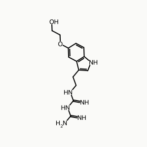 N=C(N)NC(=N)NCCc1c[nH]c2ccc(OCCO)cc12